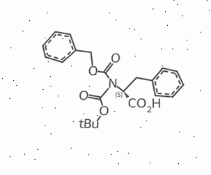 CC(C)(C)OC(=O)N(C(=O)OCc1ccccc1)[C@@H](Cc1ccccc1)C(=O)O